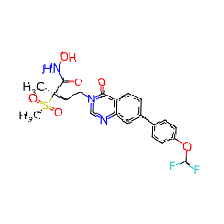 C[C@@](CCn1cnc2cc(-c3ccc(OC(F)F)cc3)ccc2c1=O)(C(=O)NO)S(C)(=O)=O